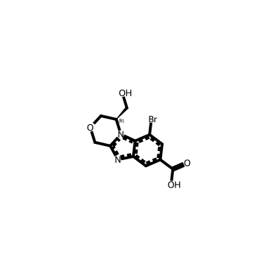 O=C(O)c1cc(Br)c2c(c1)nc1n2[C@H](CO)COC1